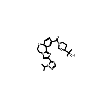 CC(C)n1ncnc1-c1cn2c(n1)-c1cc(C(=O)N3CCC(C(C)(C)O)CC3)ccc1OCC2